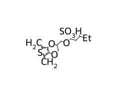 C=c1sc(=C)c2c1OCC(COCCC(CC)S(=O)(=O)O)O2